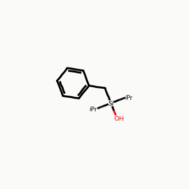 CC(C)[Si](O)(Cc1ccccc1)C(C)C